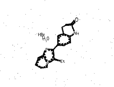 Br.CCc1c(-c2ccc3c(c2)CCC(=O)N3)nc2ccccn12.O